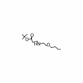 CCCCOCCNCCC(=O)OC(C)(C)C